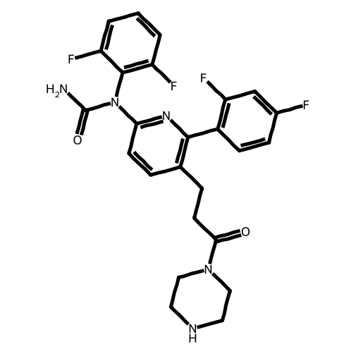 NC(=O)N(c1ccc(CCC(=O)N2CCNCC2)c(-c2ccc(F)cc2F)n1)c1c(F)cccc1F